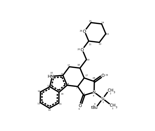 CC(C)(C)[Si](C)(C)N1C(=O)C2c3c([nH]c4ccccc34)CC(COC3CCCCO3)C2C1=O